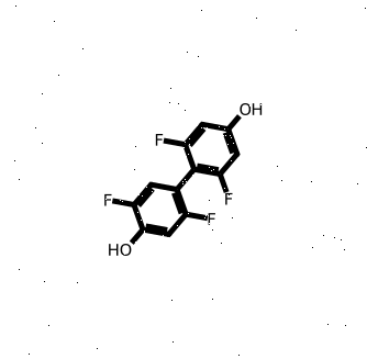 Oc1cc(F)c(-c2cc(F)c(O)cc2F)c(F)c1